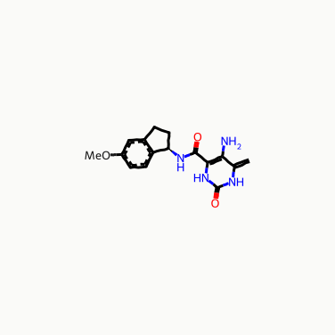 C=C1NC(=O)NC(C(=O)N[C@@H]2CCc3cc(OC)ccc32)=C1N